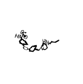 CCCCNC1CCN(Cc2ccc(Oc3ccc(NS(C)(=O)=O)cc3)cc2)CC1